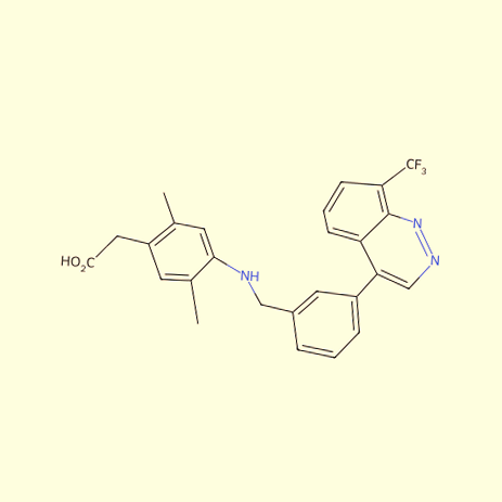 Cc1cc(NCc2cccc(-c3cnnc4c(C(F)(F)F)cccc34)c2)c(C)cc1CC(=O)O